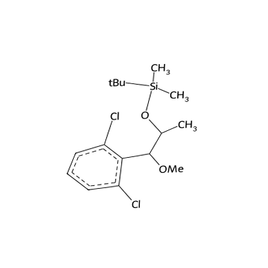 COC(c1c(Cl)cccc1Cl)C(C)O[Si](C)(C)C(C)(C)C